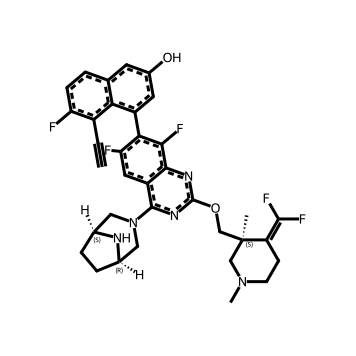 C#Cc1c(F)ccc2cc(O)cc(-c3c(F)cc4c(N5C[C@H]6CC[C@@H](C5)N6)nc(OC[C@]5(C)CN(C)CCC5=C(F)F)nc4c3F)c12